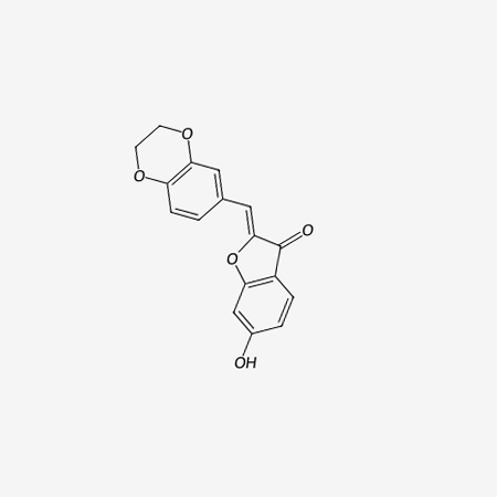 O=C1C(=Cc2ccc3c(c2)OCCO3)Oc2cc(O)ccc21